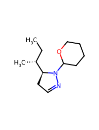 CC[C@@H](C)[C@@H]1CC=NN1C1CCCCO1